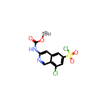 CC(C)(C)OC(=O)Nc1cc2cc(S(=O)(=O)Cl)cc(Cl)c2cn1